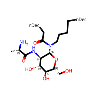 CCCCCCCCCCCCCCN(C(=O)CCCCCCCCCCC)[C@@H]1O[C@H](CO)[C@@H](O)[C@H](O)[C@H]1NC(=O)[C@H](C)N